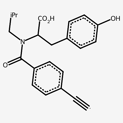 [C]#Cc1ccc(C(=O)N(CC(C)C)C(Cc2ccc(O)cc2)C(=O)O)cc1